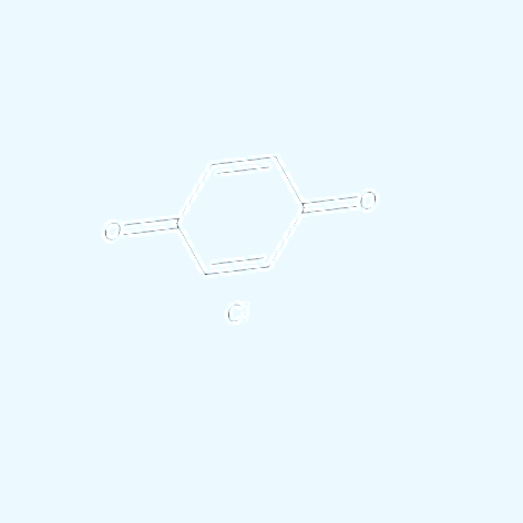 O=C1C=CC(=O)C=C1.[C]